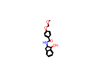 COCOc1ccc(C(=O)NC2Cc3ccccc3C2O)cc1